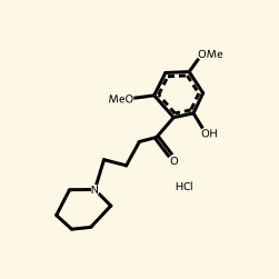 COc1cc(O)c(C(=O)CCCN2CCCCC2)c(OC)c1.Cl